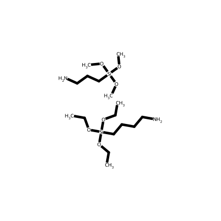 CCO[Si](CCCCN)(OCC)OCC.CO[Si](CCCN)(OC)OC